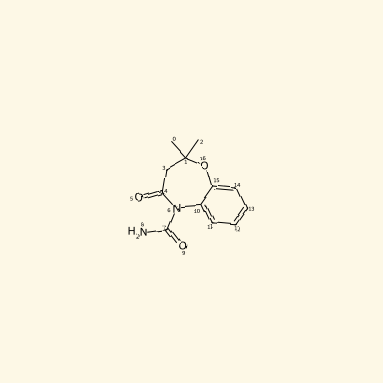 CC1(C)CC(=O)N(C(N)=O)c2ccccc2O1